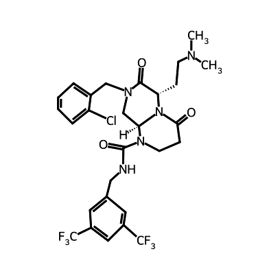 CN(C)CC[C@H]1C(=O)N(Cc2ccccc2Cl)C[C@@H]2N(C(=O)NCc3cc(C(F)(F)F)cc(C(F)(F)F)c3)CCC(=O)N21